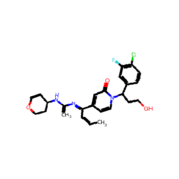 C=C(/N=C(\C=C/C)c1ccn(C(CCO)c2ccc(Cl)c(F)c2)c(=O)c1)NC1CCOCC1